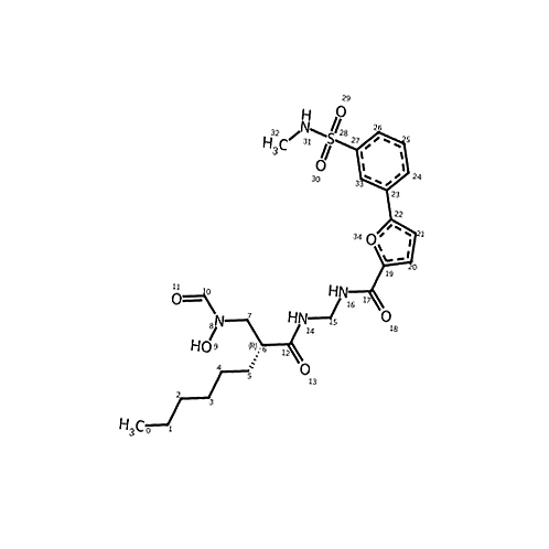 CCCCCC[C@H](CN(O)C=O)C(=O)NCNC(=O)c1ccc(-c2cccc(S(=O)(=O)NC)c2)o1